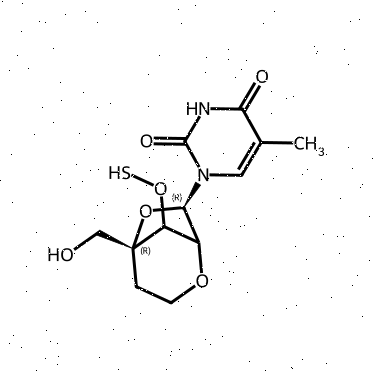 Cc1cn([C@@H]2O[C@@]3(CO)CCOC2C3OS)c(=O)[nH]c1=O